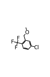 COCc1cc(Cl)ccc1C(F)(F)F